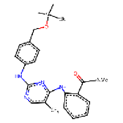 CNC(=O)c1ccccc1Nc1nc(Nc2ccc(CO[Si](C)(C)C(C)(C)C)cc2)ncc1C(F)(F)F